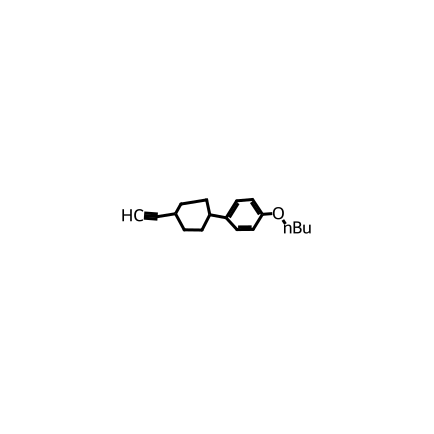 C#CC1CCC(c2ccc(OCCCC)cc2)CC1